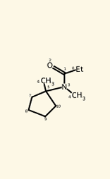 CCC(=O)N(C)C1(C)CCCC1